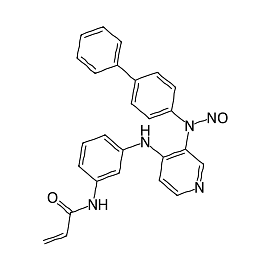 C=CC(=O)Nc1cccc(Nc2ccncc2N(N=O)c2ccc(-c3ccccc3)cc2)c1